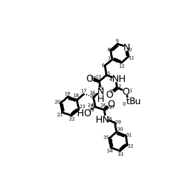 CC(C)(C)OC(=O)NC(Cc1ccncc1)C(=O)N[C@@H](Cc1ccccc1)[C@H](O)C(=O)NCc1ccccc1